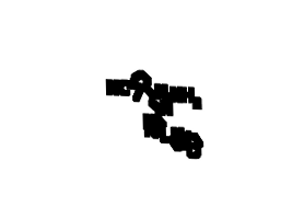 Cc1c(C#N)cccc1-c1cc(-c2cn(Cc3cc4n(n3)CCO4)nn2)nc(N)n1